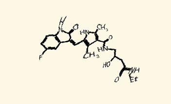 CCNC(=O)CC(O)CNC(=O)c1c(C)[nH]c(/C=C2\C(=O)Nc3ccc(F)cc32)c1C